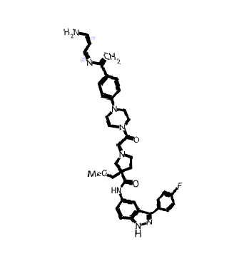 C=C(/N=C\C=C/N)c1ccc(N2CCN(C(=O)CN3CCC(COC)(C(=O)Nc4ccc5[nH]nc(-c6ccc(F)cc6)c5c4)C3)CC2)cc1